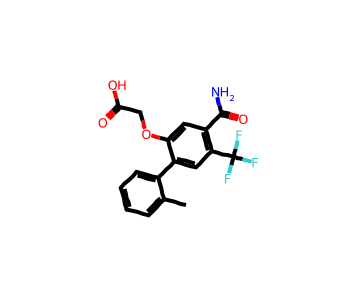 Cc1ccccc1-c1cc(C(F)(F)F)c(C(N)=O)cc1OCC(=O)O